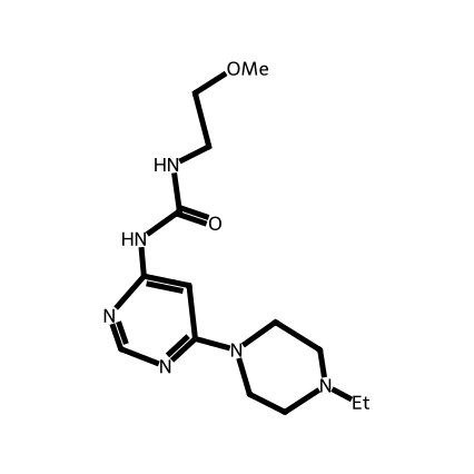 CCN1CCN(c2cc(NC(=O)NCCOC)ncn2)CC1